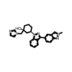 Cn1cc2cc(-c3nn([C@@H]4CCC[C@@](O)(Cn5ccnc5)C4)c4ccccc34)ccc2n1